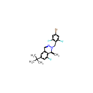 C=C1c2c(F)cc(C(C)(C)C)cc2C=NN1Cc1c(F)cc(Br)cc1F